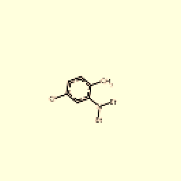 CCN(CC)c1cc(Cl)ccc1C